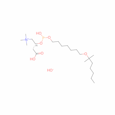 CCCCCC(C)(C)OCCCCCCCOP(O)O[C@H](CC(=O)O)C[N+](C)(C)C.[OH-]